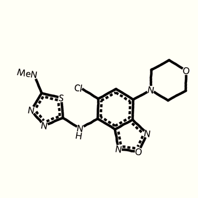 CNc1nnc(Nc2c(Cl)cc(N3CCOCC3)c3nonc23)s1